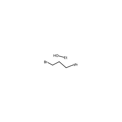 CCCCCCBr.CCO